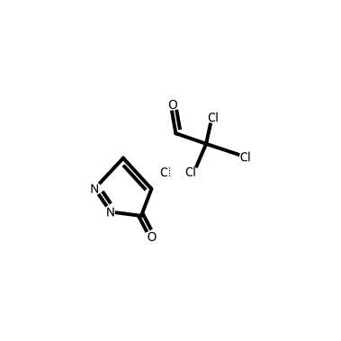 O=C1C=CN=N1.O=CC(Cl)(Cl)Cl.[C]